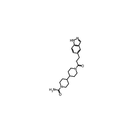 NC(=O)N1CCC(C2CCN(C(=O)[CH]Cc3ccc4[nH]ncc4c3)CC2)CC1